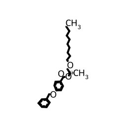 CCCCCCCCCCOC[C@H](C)OC(=O)c1ccc(OCc2ccccc2)cc1